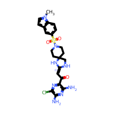 Cn1ccc2cc(S(=O)(=O)N3CCC4(CC3)CN/C(=C\C(=O)c3nc(Cl)c(N)nc3N)N4)ccc21